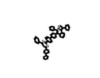 C1=CCCC(c2cnn3c(-c4ccccc4)c(C4C=CC(c5ccc(-c6nc(-c7ccccc7)cc(-c7ccc(-c8ccccc8)cc7)n6)cc5)=CC4)c4ccccc4c23)=C1